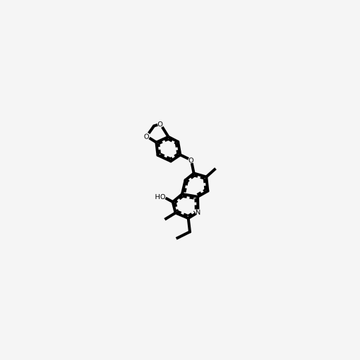 CCc1nc2cc(C)c(Oc3ccc4c(c3)OCO4)cc2c(O)c1C